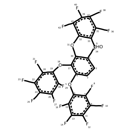 O=Cc1ccc(Oc2c(F)c(F)c(F)c(F)c2F)c(Oc2c(F)c(F)c(F)c(F)c2F)c1Oc1c(F)c(F)c(F)c(F)c1F